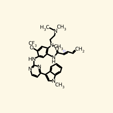 C=C/C=C/C(=O)Nc1cc(Nc2nccc(-c3cn(C)c4ccccc34)n2)c(OC(F)(F)F)cc1N(C)CCN(C)C